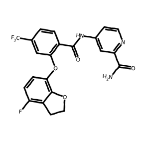 NC(=O)c1cc(NC(=O)c2ccc(C(F)(F)F)cc2Oc2ccc(F)c3c2OCC3)ccn1